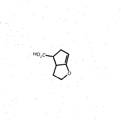 O=C(O)C1CC=C2OCCC21